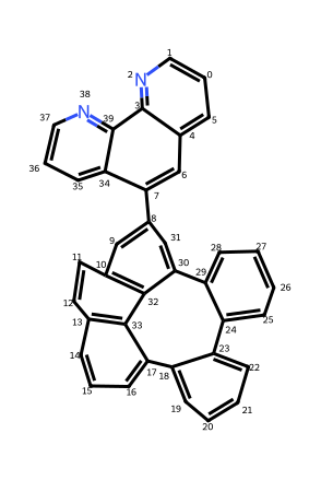 c1cnc2c(c1)cc(-c1cc3ccc4cccc5c6ccccc6c6ccccc6c(c1)c3c45)c1cccnc12